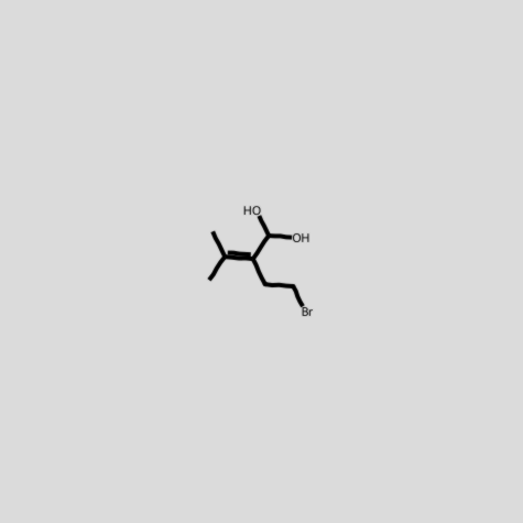 CC(C)=C(CCBr)C(O)O